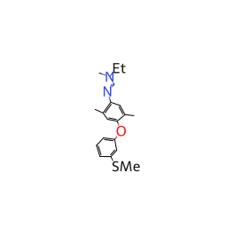 CCN(C)/C=N/c1cc(C)c(Oc2cccc(SC)c2)cc1C